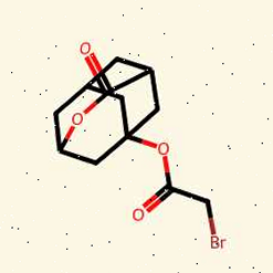 O=C(CBr)OC12CC3CC(C1)OC(=O)C(C3)C2